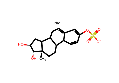 C[C@]12CCC3C4C=CC(OS(=O)(=O)[O-])=CC4=CCC3C1C[C@H](O)[C@H]2O.[Na+]